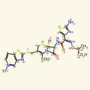 CC[n+]1ccc2sc(SCC3=C(C(=O)[O-])N4C(=O)C(NC(=O)/C(=N\O[C@@H](C)C(=O)O)c5csc(N)n5)[C@@H]4SC3)nc2c1